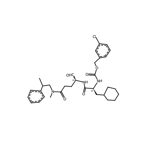 CC(CN(C)C(=O)CC[C@@H](C=O)NC(=O)[C@H](CC1CCCCC1)NC(=O)OCc1cccc(Cl)c1)c1ccccc1